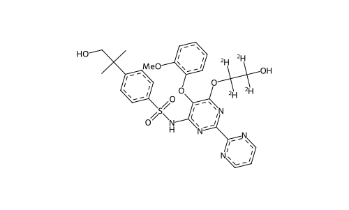 [2H]C([2H])(O)C([2H])([2H])Oc1nc(-c2ncccn2)nc(NS(=O)(=O)c2ccc(C(C)(C)CO)cc2)c1Oc1ccccc1OC